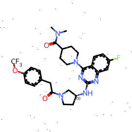 CN(C)C(=O)C1CCN(c2nc(N[C@H]3CCN(C(=O)Cc4ccc(OC(F)(F)F)cc4)C3)nc3cc(F)ccc23)CC1